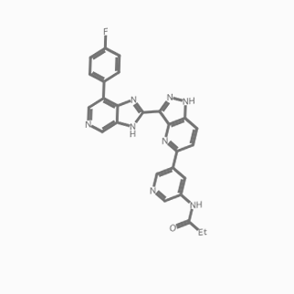 CCC(=O)Nc1cncc(-c2ccc3[nH]nc(-c4nc5c(-c6ccc(F)cc6)cncc5[nH]4)c3n2)c1